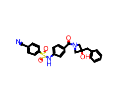 N#Cc1ccc(S(=O)(=O)Nc2ccc(C(=O)N3CC(O)(Cc4ccccc4)C3)cc2)cc1